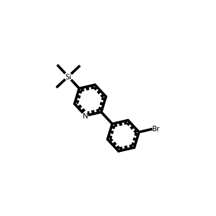 C[Si](C)(C)c1ccc(-c2cccc(Br)c2)nc1